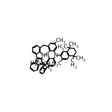 Cc1cc2c3c(c1)N(c1cc4c(cc1C)C(C)(C)CCC4(C)C)c1ccc4c(c1B3n1c3c(c5cccc(c51)C2)-c1ccccc1C3(C)C)C(C)(C)c1ccccc1-4